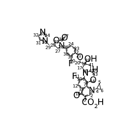 O=C(O)c1cn(C2CC2)c2c3c(c(F)cc2c1=O)N1C[C@](O)(COc2ccc(N4C[C@H](Cn5ccnc5)OC4=O)cc2F)C[C@H]1CO3